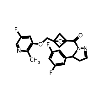 Cc1ncc(F)cc1OCC12CC(C(=O)N3N=CCC3c3cc(F)cc(F)c3)(C1)C2